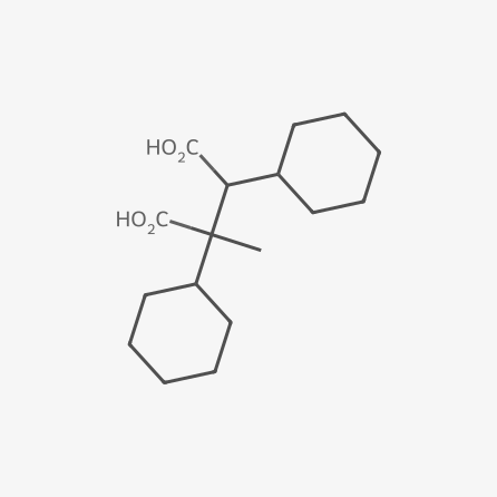 CC(C(=O)O)(C1CCCCC1)C(C(=O)O)C1CCCCC1